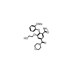 COc1ccccc1Oc1c(OCCO)cc(C(=O)N2CCOCC2)cc1C(N)=O